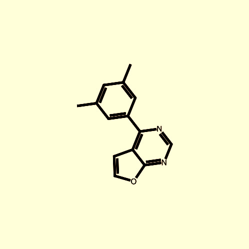 Cc1cc(C)cc(-c2ncnc3occc23)c1